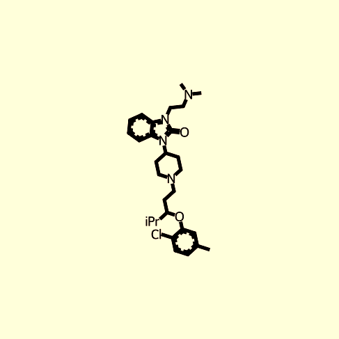 Cc1ccc(Cl)c(OC(CCN2CCC(n3c(=O)n(CCN(C)C)c4ccccc43)CC2)C(C)C)c1